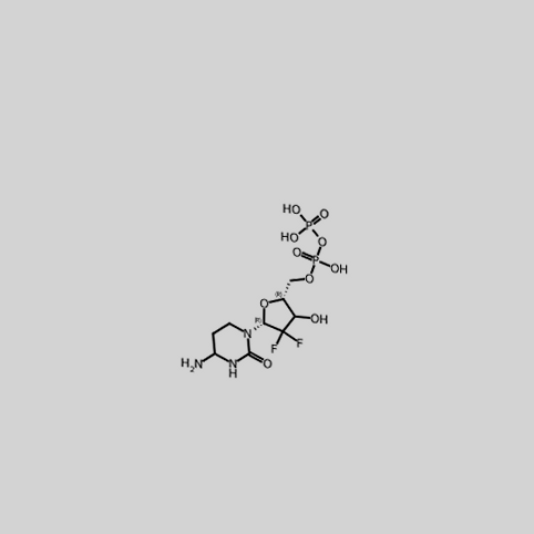 NC1CCN([C@@H]2O[C@H](COP(=O)(O)OP(=O)(O)O)C(O)C2(F)F)C(=O)N1